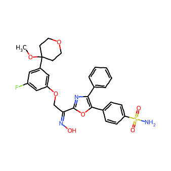 COC1(c2cc(F)cc(OC/C(=N/O)c3nc(-c4ccccc4)c(-c4ccc(S(N)(=O)=O)cc4)o3)c2)CCOCC1